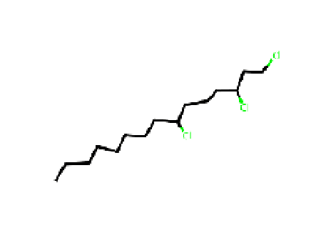 CCCCCCCCC(Cl)CCCC(Cl)CCCl